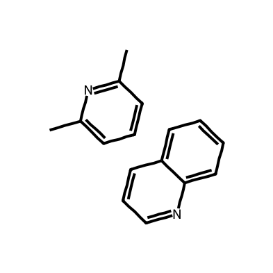 Cc1cccc(C)n1.c1ccc2ncccc2c1